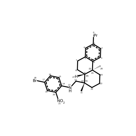 CC(C)c1ccc2c(c1)CC[C@H]1[C@@](C)(CNc3ccc(Br)cc3[N+](=O)[O-])CCC[C@]21C